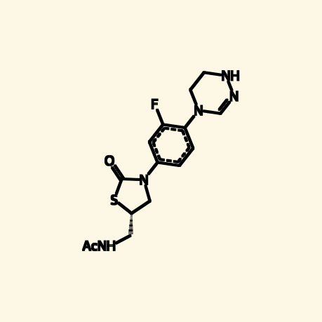 CC(=O)NC[C@H]1CN(c2ccc(N3C=NNCC3)c(F)c2)C(=O)S1